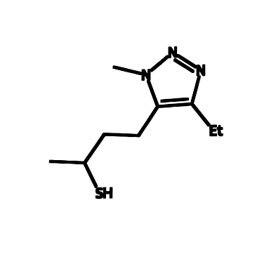 CCc1nnn(C)c1CCC(C)S